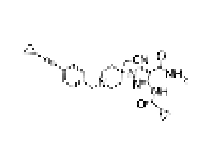 N#CCC1(n2cc(C(N)=O)c(NC(=O)C3CC3)n2)CCN(Cc2ccc(C#CC3CC3)cc2)CC1